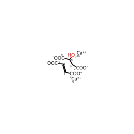 O=C([O-])/C=C/C(=O)[O-].O=C([O-])CC(O)C(=O)[O-].[Ca+2].[Ca+2]